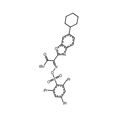 CC(C)c1cc(C(C)C)c(S(=O)(=O)O/N=C(\C(=O)C(C)(C)C)c2nc3ccc(C4CCCCC4)cc3o2)c(C(C)C)c1